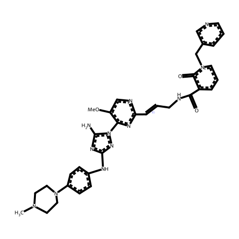 COc1cnc(/C=C/CNC(=O)c2cccn(Cc3cccnc3)c2=O)nc1-n1nc(Nc2ccc(N3CCN(C)CC3)cc2)nc1N